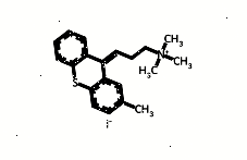 Cc1ccc2c(c1)C(=CCC[N+](C)(C)C)c1ccccc1S2.[I-]